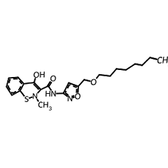 CCCCCCCCOCc1cc(NC(=O)C2=C(O)c3ccccc3SN2C)no1